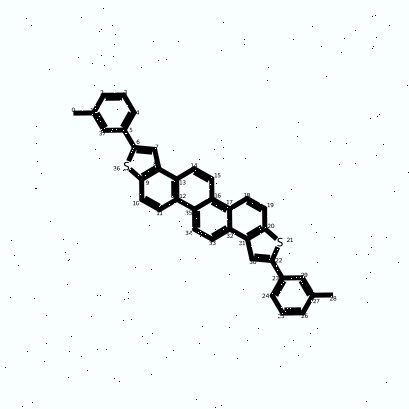 Cc1cccc(-c2cc3c(ccc4c3ccc3c5ccc6sc(-c7cccc(C)c7)cc6c5ccc43)s2)c1